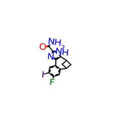 NC(=O)c1nc2c([nH]1)C1CC(C1)c1cc(F)c(I)cc1-2